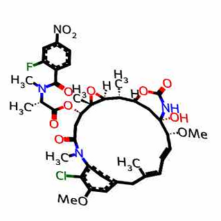 COc1cc2cc(c1Cl)N(C)C(=O)C[C@H](OC(=O)[C@H](C)N(C)C(=O)c1ccc([N+](=O)[O-])cc1F)[C@]1(C)O[C@H]1[C@H](C)[C@@H]1C[C@@](O)(NC(=O)O1)[C@H](OC)/C=C/C=C(\C)C2